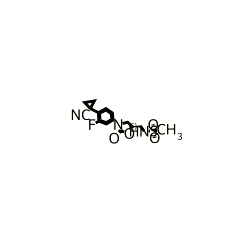 CS(=O)(=O)NC[C@@H]1CN(c2ccc(C3(C#N)CC3)c(F)c2)C(=O)O1